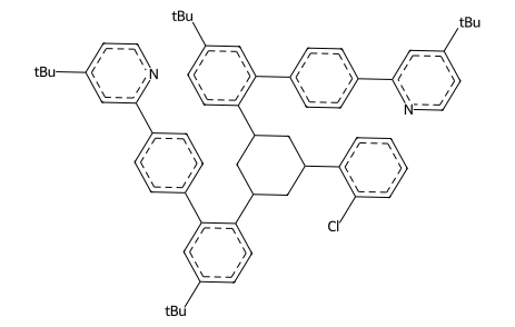 CC(C)(C)c1ccnc(-c2ccc(-c3cc(C(C)(C)C)ccc3C3CC(c4ccccc4Cl)CC(c4ccc(C(C)(C)C)cc4-c4ccc(-c5cc(C(C)(C)C)ccn5)cc4)C3)cc2)c1